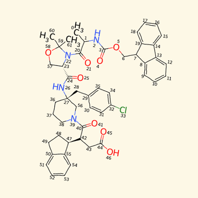 CC(NC(=O)OCC1c2ccccc2-c2ccccc21)C(=O)N1[C@H](C(=O)N[C@@]2(Cc3ccc(Cl)cc3)CCCN(C(=O)C(CC(=O)O)[C@@H]3CCc4ccccc43)C2)COC1(C)C